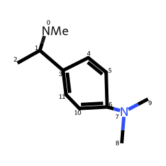 CNC(C)c1ccc(N(C)C)cc1